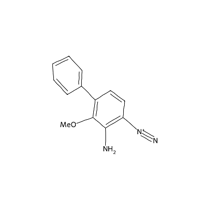 COc1c(-c2ccccc2)ccc([N+]#N)c1N